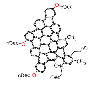 CCCCCCCCCCCCc1c(C)cc(CCCCCCCCCCCC)c2c1c1cc(C)c3c4ccc5c6cc(OCCCCCCCCCC)ccc6c6ccc7c8ccc(OCCCCCCCCCC)c9c%10ccc%11c%12cc(OCCCCCCCCCC)ccc%12c%12c(C)c2c2c1c3c1c3c4c5c6c7c3c(c89)c3c%10c%11c%12c2c31